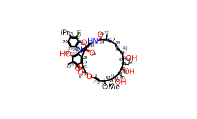 CO[C@H]1/C=C/O[C@@]2(C)Oc3c(C)c(O)c4c(=O)c(c5oc6c(F)c(C(C)C)ccc6nc-5c4c3C2=O)NC(=O)/C(C)=C\C=C\[C@H](C)[C@H](O)[C@@H](C)[C@@H](O)[C@@H](C)[C@H](O)[C@@H]1C